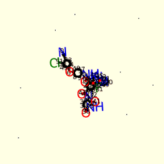 N#Cc1ccc(OC2CCC(NC(=O)c3ccc(N4C5CC4CN(Cc4ccc6c(c4F)CN(C4CCC(=O)NC4=O)C6=O)C5)nn3)CC2)cc1Cl